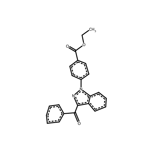 CCOC(=O)c1ccc(-n2nc(C(=O)c3ccccc3)c3ccccc32)cc1